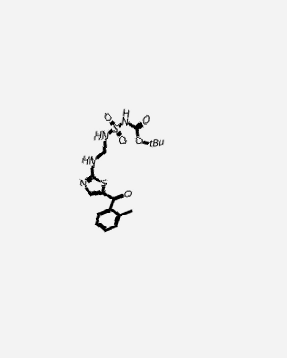 Cc1ccccc1C(=O)c1cnc(NCNS(=O)(=O)NC(=O)OC(C)(C)C)s1